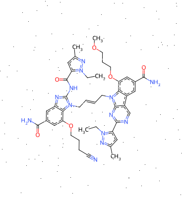 CCn1nc(C)cc1C(=O)Nc1nc2cc(C(N)=O)cc(OCCCC#N)c2n1CC=CCn1c2nc(-c3cc(C)nn3CC)ncc2c2cc(C(N)=O)cc(OCCCOC)c21